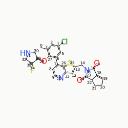 Cc1cc(Cl)cc(-c2ccnc3cc(CN4C(=O)C5=CCCC5C4=O)sc23)c1O[C@@H]1CNC[C@@H]1F